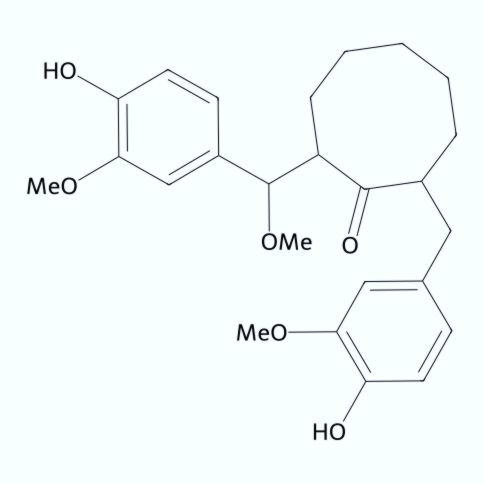 COc1cc(CC2CCCCCC(C(OC)c3ccc(O)c(OC)c3)C2=O)ccc1O